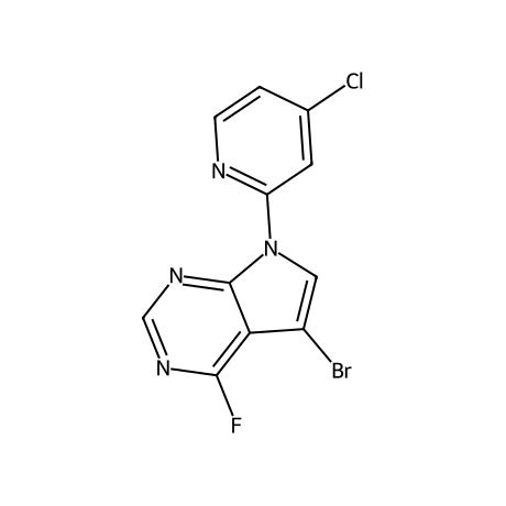 Fc1ncnc2c1c(Br)cn2-c1cc(Cl)ccn1